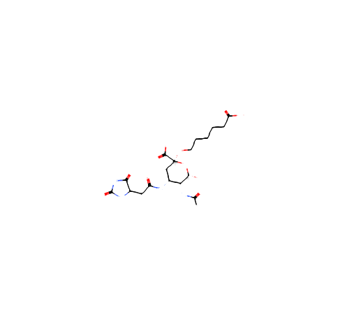 CC(=O)N[C@@H]1[C@@H](NC(=O)CC2NC(=O)NC2=O)C[C@](OCCCCCC(=O)O)(C(=O)O)O[C@H]1O